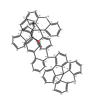 c1ccc(-c2ccc(-c3ccccc3N(c3ccc4c(c3)-c3c(ccc5ccccc35)C43c4ccccc4Sc4ccccc43)c3cccc4c3-c3ccccc3C43c4ccccc4Oc4ccccc43)cc2)cc1